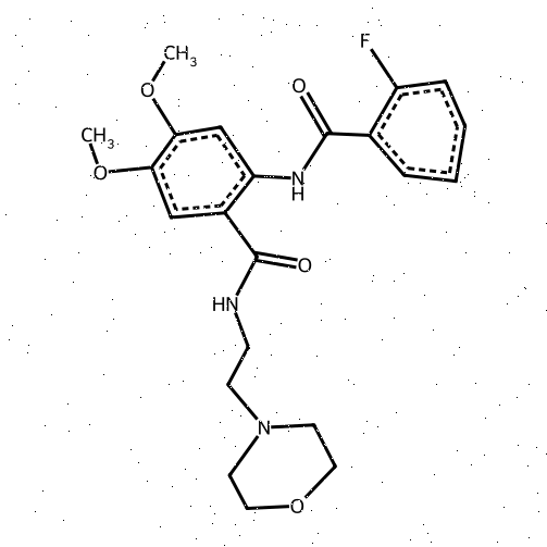 COc1cc(NC(=O)c2ccccc2F)c(C(=O)NCCN2CCOCC2)cc1OC